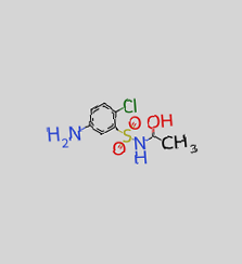 CC(O)NS(=O)(=O)c1cc(N)ccc1Cl